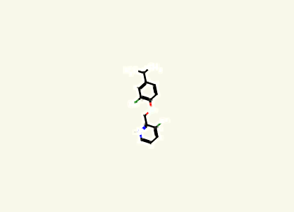 CC(C)c1ccc(OCc2ncccc2F)c(Cl)c1